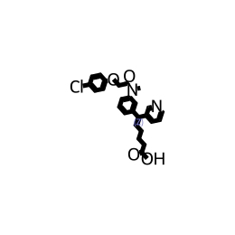 CN(C(=O)COc1ccc(Cl)cc1)c1cccc(/C(=C/CCCC(=O)O)c2cccnc2)c1